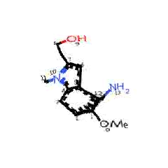 COc1ccc2c(cc(CO)n2C)c1N